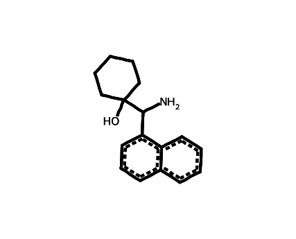 NC(c1cccc2ccccc12)C1(O)CCCCC1